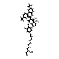 C[C@]12CCCN1N(Cc1c(F)cc(C#CCCCCCC[C@@H](O)CO)cc1F)C(=O)C(C(=O)Nc1ccc(C(F)(F)F)cc1-c1ccc(C(F)(F)F)nc1)=C2O